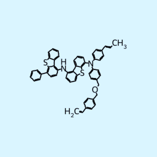 C=Cc1ccc(COCc2ccc(N(c3ccc(/C=C/C)cc3)c3cccc4c3sc3cccc(Nc5ccc(-c6ccccc6)c6sc7ccccc7c56)c34)cc2)cc1